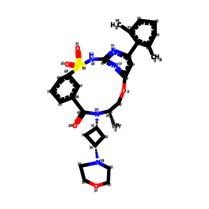 CCC[C@@H]1COc2cc(-c3c(C)cccc3C)nc(n2)NS(=O)(=O)c2cccc(c2)C(=O)N1[C@H]1C[C@@H](N2CCOCC2)C1